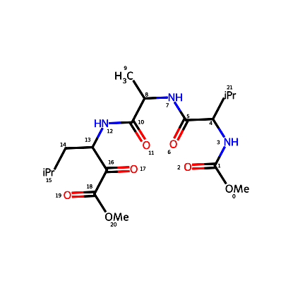 COC(=O)NC(C(=O)NC(C)C(=O)NC(CC(C)C)C(=O)C(=O)OC)C(C)C